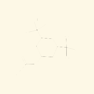 CC(C)C(=O)OC1CC(C(O)(C(F)(F)F)C(F)(F)F)CC(C(O)(C(F)(F)F)C(F)(F)F)C1